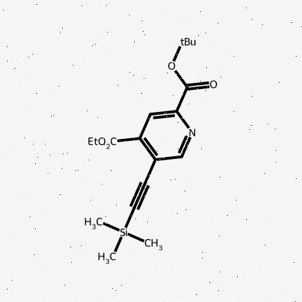 CCOC(=O)c1cc(C(=O)OC(C)(C)C)ncc1C#C[Si](C)(C)C